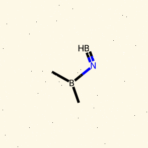 B=NB(C)C